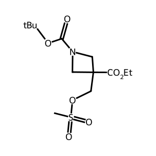 CCOC(=O)C1(COS(C)(=O)=O)CN(C(=O)OC(C)(C)C)C1